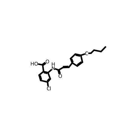 CCCCCc1ccc(C=CC(=O)Nc2cc(Cl)ccc2C(=O)O)cc1